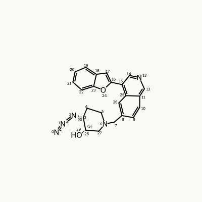 [N-]=[N+]=N[C@@H]1CCN(Cc2ccc3cncc(-c4cc5ccccc5o4)c3c2)C[C@@H]1O